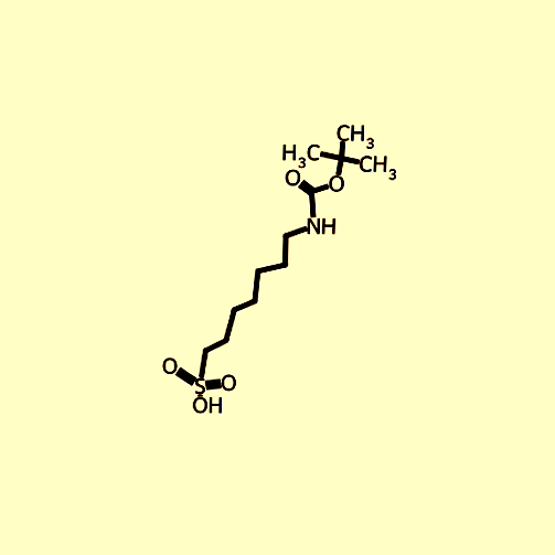 CC(C)(C)OC(=O)NCCCCCCCS(=O)(=O)O